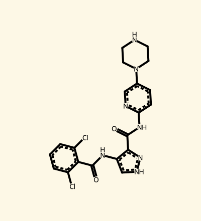 O=C(Nc1ccc(N2CCNCC2)cn1)c1n[nH]cc1NC(=O)c1c(Cl)cccc1Cl